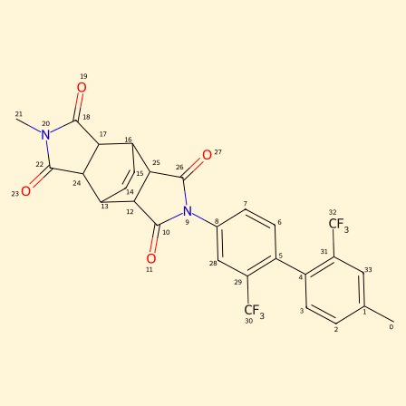 Cc1ccc(-c2ccc(N3C(=O)C4C5C=CC(C6C(=O)N(C)C(=O)C56)C4C3=O)cc2C(F)(F)F)c(C(F)(F)F)c1